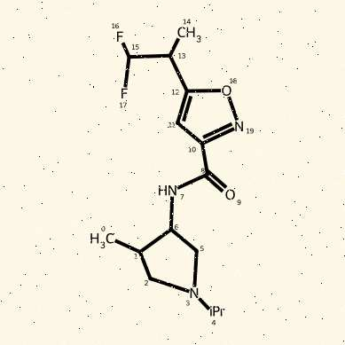 CC1CN(C(C)C)CC1NC(=O)c1cc(C(C)C(F)F)on1